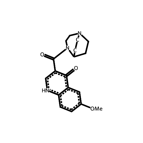 COc1ccc2[nH]cc(C(=O)N3CCN4CCC3CC4)c(=O)c2c1